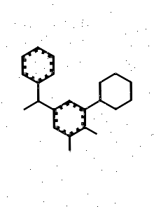 CC(c1ccccc1)c1cc(C(=O)O)c(O)c(C2CCCCC2)c1